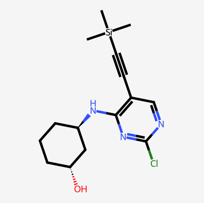 C[Si](C)(C)C#Cc1cnc(Cl)nc1N[C@@H]1CCC[C@@H](O)C1